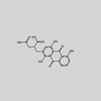 O=C(O)CC(Cc1cc(O)c2c(c1O)C(=O)c1cccc(O)c1C2=O)C(=O)O